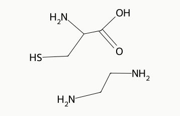 NC(CS)C(=O)O.NCCN